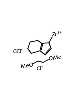 COCCOC.[Cl-].[Cl-].[Cl-].[Zr+3][CH]1C=CC2=C1CCCC2